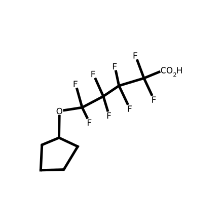 O=C(O)C(F)(F)C(F)(F)C(F)(F)C(F)(F)OC1CCCC1